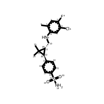 Cc1cc(F)c(Cl)cc1NC[C@@H]1[C@@H](c2ccc(S(N)(=O)=O)cc2)C1(C)C